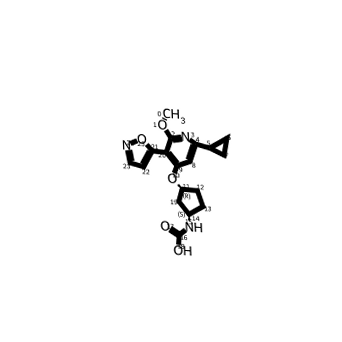 COc1nc(C2CC2)cc(O[C@@H]2CC[C@H](NC(=O)O)C2)c1-c1ccno1